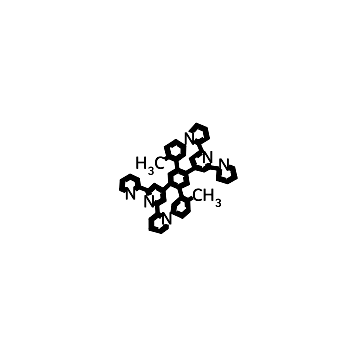 Cc1ccccc1-c1cc(-c2cc(-c3ccccn3)nc(-c3ccccn3)c2)c(-c2ccccc2C)cc1-c1cc(-c2ccccn2)nc(-c2ccccn2)c1